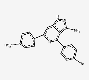 Nc1n[nH]c2cc(-c3ccc(C(=O)O)cc3)nc(-c3ccc(Br)cc3)c12